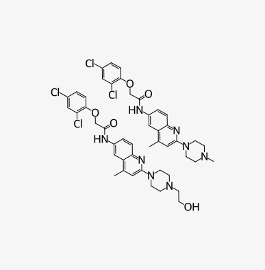 Cc1cc(N2CCN(C)CC2)nc2ccc(NC(=O)COc3ccc(Cl)cc3Cl)cc12.Cc1cc(N2CCN(CCO)CC2)nc2ccc(NC(=O)COc3ccc(Cl)cc3Cl)cc12